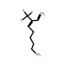 C=C/C(=C\CCCCC)C(F)(F)F